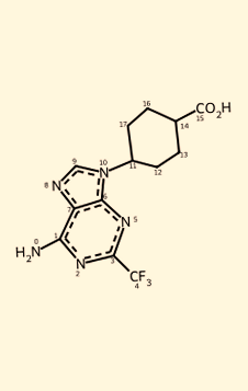 Nc1nc(C(F)(F)F)nc2c1ncn2C1CCC(C(=O)O)CC1